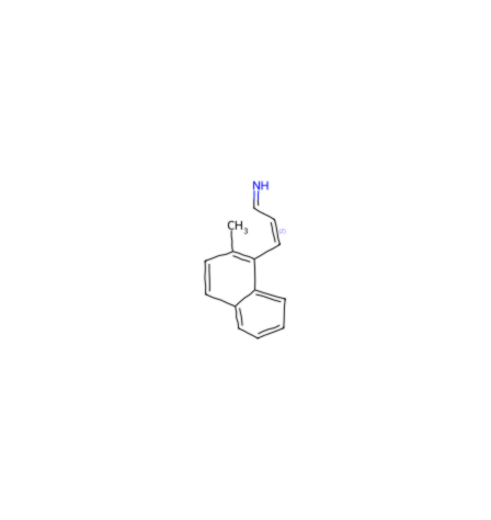 Cc1ccc2ccccc2c1/C=C\C=N